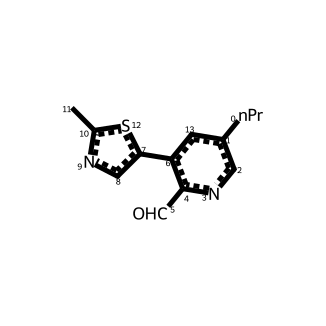 CCCc1cnc(C=O)c(-c2cnc(C)s2)c1